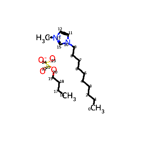 CCCCCCCCCCn1cc[n+](C)c1.CCCCOS(=O)(=O)[O-]